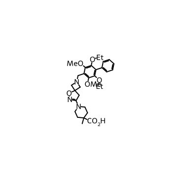 CCOc1c(OC)c(CN2CC3(CC(N4CCC(C)(C(=O)O)CC4)=NO3)C2)c(OC)c(OCC)c1-c1ccccc1